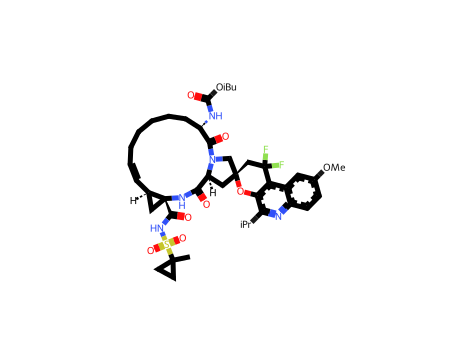 COc1ccc2nc(C(C)C)c3c(c2c1)C(F)(F)C[C@]1(C[C@H]2C(=O)N[C@]4(C(=O)NS(=O)(=O)C5(C)CC5)C[C@H]4/C=C\CCCCC[C@H](NC(=O)OCC(C)C)C(=O)N2C1)O3